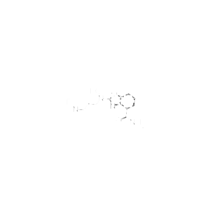 CCN(CC)CCCN(C)c1nc2c(C(N)=O)[c]ccc2o1